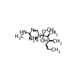 C=C(/N=C\[N+](=C)C(O)(OC)C(=C)C(=C)/C=C\C)NC